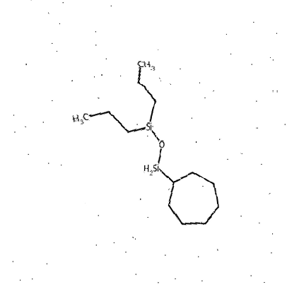 CCC[Si](CCC)O[SiH2]C1CCCCCC1